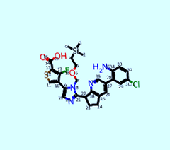 C[Si](C)(C)CCOCn1c(-c2csc(C(=O)O)c2F)cnc1C1CCc2cc(-c3cc(Cl)ccc3N)cnc21